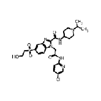 CC(C)N1CCC(NC(=O)c2nc3cc(S(=O)(=O)CCO)ccc3n2CC(=O)Nc2ccc(Cl)cn2)CC1